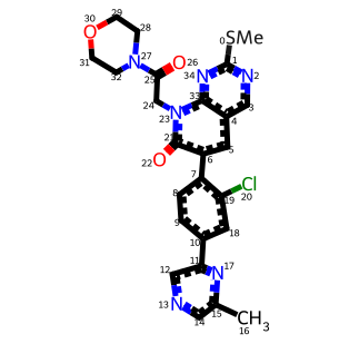 CSc1ncc2cc(-c3ccc(-c4cncc(C)n4)cc3Cl)c(=O)n(CC(=O)N3CCOCC3)c2n1